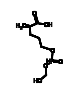 C=C(CCCO[PH](=O)OCO)C(=O)O